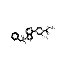 C[C@@H]1CN(c2ncnc3c2cnn3S(=O)(=O)Cc2ccccc2)CCN1C(=O)OC(C)(C)C